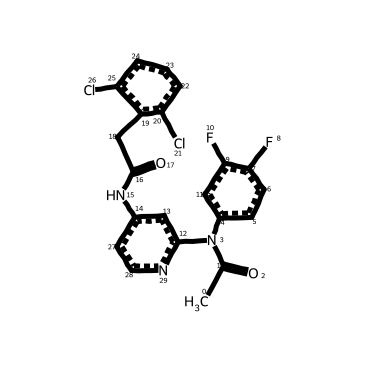 CC(=O)N(c1ccc(F)c(F)c1)c1cc(NC(=O)Cc2c(Cl)cccc2Cl)ccn1